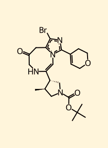 C[C@@H]1CN(C(=O)OC(C)(C)C)C[C@H]1/C1=C/n2c(C3=CCOCC3)nc(Br)c2CC(=O)CN1